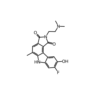 Cc1cc2c(c3c1[nH]c1cc(F)c(O)cc13)C(=O)N(CCN(C)C)C2=O